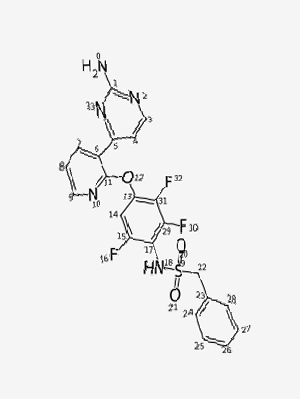 Nc1nccc(-c2cccnc2Oc2cc(F)c(NS(=O)(=O)Cc3ccccc3)c(F)c2F)n1